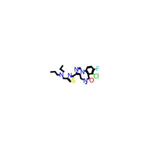 CCCN(CCC)Cc1csc(-c2ncn3c2CN(C)C(=O)c2c-3ccc(F)c2Cl)n1